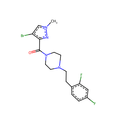 Cn1cc(Br)c(C(=O)N2CCN(CCc3ccc(F)cc3F)CC2)n1